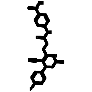 N#CC1=C(SCC(=O)Nc2ccc([N+](=O)O)cc2)NC(=O)CC1c1ccc(F)cc1